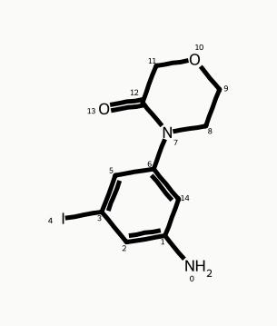 Nc1cc(I)cc(N2CCOCC2=O)c1